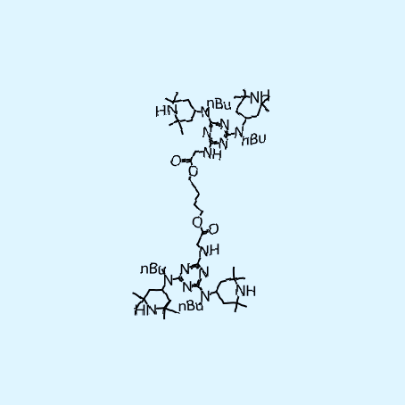 CCCCN(c1nc(NCC(=O)OCCCCOC(=O)CNc2nc(N(CCCC)C3CC(C)(C)NC(C)(C)C3)nc(N(CCCC)C3CC(C)(C)NC(C)(C)C3)n2)nc(N(CCCC)C2CC(C)(C)NC(C)(C)C2)n1)C1CC(C)(C)NC(C)(C)C1